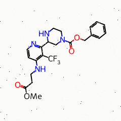 COC(=O)CCNc1ccnc(C2CN(C(=O)OCc3ccccc3)CCN2)c1C(F)(F)F